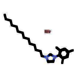 Br.CCCCCCCCCCCCCCN1C=CN(c2c(C)cc(C)cc2C)C1